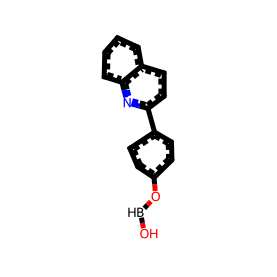 OBOc1ccc(-c2ccc3ccccc3n2)cc1